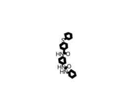 O=C(Nc1ccccc1)Nc1ccc(NC(=O)c2ccc(Sc3ccccc3)cc2)cc1